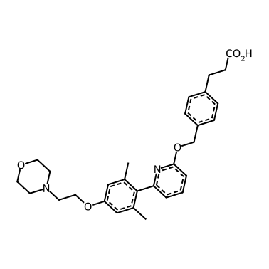 Cc1cc(OCCN2CCOCC2)cc(C)c1-c1cccc(OCc2ccc(CCC(=O)O)cc2)n1